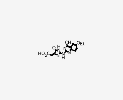 CCOc1ccc2nc(NC3=NC(=CC(=O)O)C(=O)N3)nc(C)c2c1